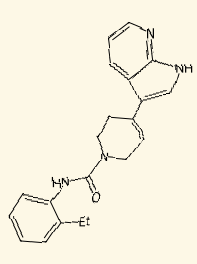 CCc1ccccc1NC(=O)N1CC=C(c2c[nH]c3ncccc23)CC1